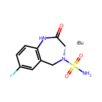 CC[C@H](C)[C@H]1C(=O)Nc2ccc(F)cc2CN1S(N)(=O)=O